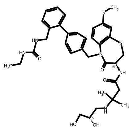 CCNC(=O)NCc1ccccc1-c1ccc(CN2C(=O)[C@H](NC(=O)CC(C)(C)NC[C@H](O)CO)CSc3cc(SC)ccc32)cc1